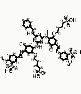 COc1ccc(N=Nc2cc(OCCCCS(=O)(=O)O)c(Nc3nc(NCc4ccccc4)nc(Nc4cc(Cl)c(N=Nc5ccc(OC)c(S(=O)(=O)O)c5)cc4OCCCCS(=O)(=O)O)n3)cc2Cl)cc1S(=O)(=O)O